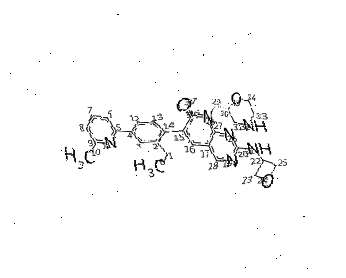 CCc1cc(-c2cccc(C)n2)ccc1-c1cc2cnc(NC3COC3)nc2n(C[C@H]2CNCCO2)c1=O